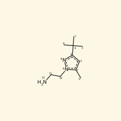 Cc1cc(C(C)(C)C)nn1CCN